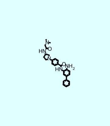 CN(C)CC(=O)N[C@H]1CCN(c2ccc(C(=O)Nc3cc(-c4ccccc4)ccc3N)cc2)C1